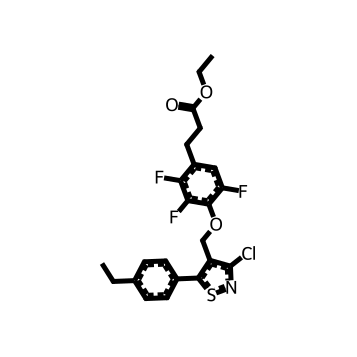 CCOC(=O)CCc1cc(F)c(OCc2c(Cl)nsc2-c2ccc(CC)cc2)c(F)c1F